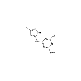 CSC1N=C(Nc2cc(C)n[nH]2)C=C(Cl)N1